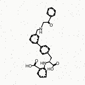 O=C(CNCc1cccc(-c2ccc(C[C@H](Nc3ccccc3C(=O)O)C(=O)O)cc2)c1)c1ccccc1